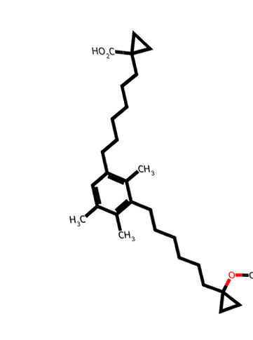 Cc1cc(CCCCCCC2(C(=O)O)CC2)c(C)c(CCCCCCC2(OC=O)CC2)c1C